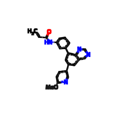 C=CC(=O)Nc1cccc(-c2cc(-c3ccc(OC)nc3)cc3cncnc23)c1